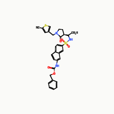 N#Cc1cc(CN2CC[C@@H](C(NS(=O)(=O)c3ccc4ccc(NC(=O)OCc5ccccc5)cc4c3)C(=O)O)C2=O)cs1